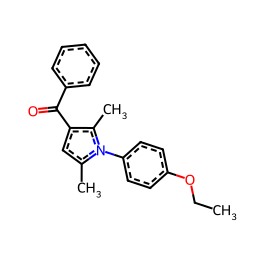 CCOc1ccc(-n2c(C)cc(C(=O)c3ccccc3)c2C)cc1